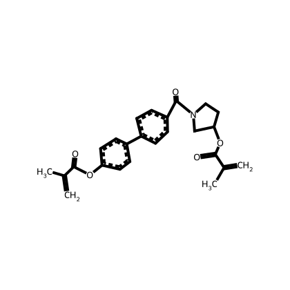 C=C(C)C(=O)Oc1ccc(-c2ccc(C(=O)N3CCC(OC(=O)C(=C)C)C3)cc2)cc1